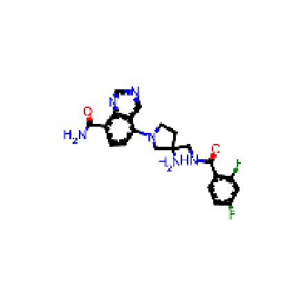 NC(=O)c1ccc(N2CCC(N)(CNC(=O)c3ccc(F)cc3F)C2)c2cncnc12